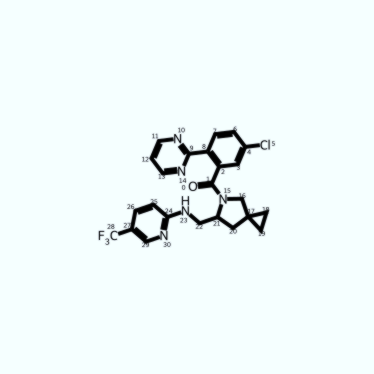 O=C(c1cc(Cl)ccc1-c1ncccn1)N1CC2(CC2)CC1CNc1ccc(C(F)(F)F)cn1